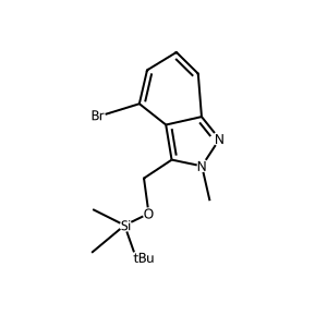 Cn1nc2cccc(Br)c2c1CO[Si](C)(C)C(C)(C)C